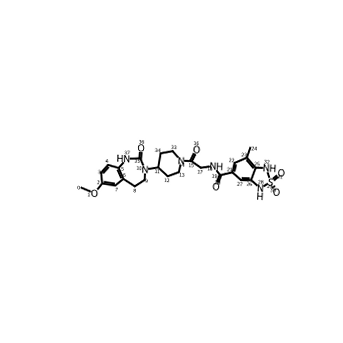 COc1ccc2c(c1)CCN(C1CCN(C(=O)CNC(=O)c3cc(C)c4c(c3)NS(=O)(=O)N4)CC1)C(=O)N2